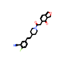 N#Cc1cc(/C=C/C2CCN(C(=O)CC3C=CC4=COCC4C3=O)CC2)ccc1F